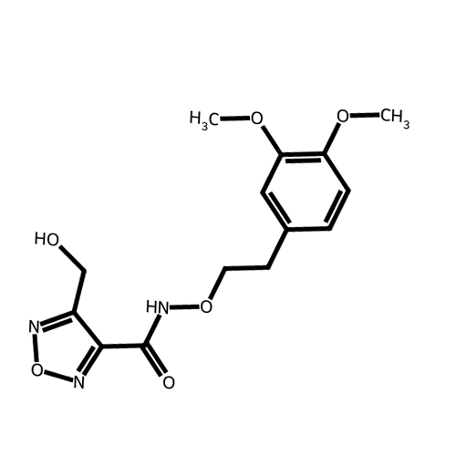 COc1ccc(CCONC(=O)c2nonc2CO)cc1OC